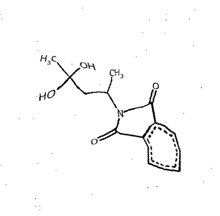 CC(CC(C)(O)O)N1C(=O)c2ccccc2C1=O